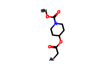 CC(=O)CC(=O)OC1CCN(C(=O)OC(C)(C)C)CC1